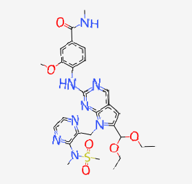 CCOC(OCC)c1cc2cnc(Nc3ccc(C(=O)NC)cc3OC)nc2n1Cc1nccnc1N(C)S(C)(=O)=O